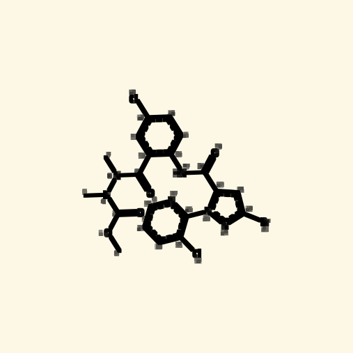 COC(=O)N(C)N(C)C(=O)c1cc(Cl)ccc1NC(=O)c1cc(Br)nn1-c1ncccc1Cl